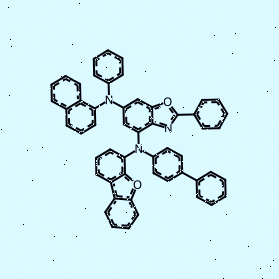 c1ccc(-c2ccc(N(c3cc(N(c4ccccc4)c4cccc5ccccc45)cc4oc(-c5ccccc5)nc34)c3cccc4c3oc3ccccc34)cc2)cc1